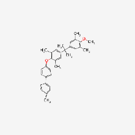 COc1c(C)cc(C(C)(C)c2cc(C)c(Oc3ccc(-c4ccc(C)cc4)cc3)c(C)c2)cc1C